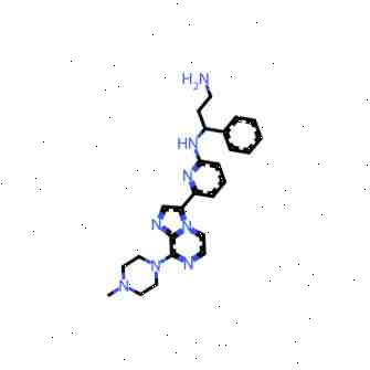 CN1CCN(c2nccn3c(-c4cccc(NC(CCN)c5ccccc5)n4)cnc23)CC1